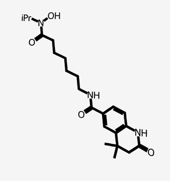 CC(C)N(O)C(=O)CCCCCCNC(=O)c1ccc2c(c1)C(C)(C)CC(=O)N2